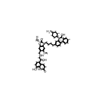 COc1cc2c(cc1CNC[C@@H](O)c1ccc(O)c3[nH]c(=O)ccc13)oc(=O)n2CCCCc1ccc(-c2ccccc2)c(N(C(=O)O)C2CCC(N)CC2)c1.F.F